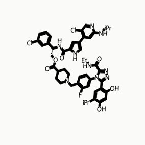 CCNC(=O)c1nnc(-c2cc(C(C)C)c(O)cc2O)n1-c1ccc(CN2CCC(C(=O)OC[C@@H](NC(=O)c3cc(-c4cc(NC(C)C)ncc4Cl)c[nH]3)c3cccc(Cl)c3)CC2)c(F)c1